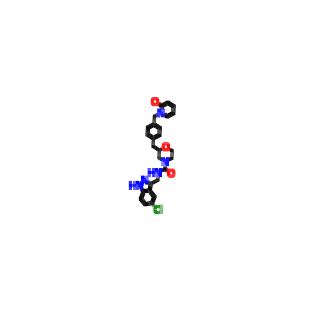 O=C(NCc1n[nH]c2ccc(Cl)cc12)N1CCOC(Cc2ccc(Cn3ccccc3=O)cc2)C1